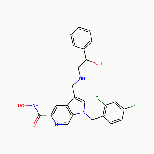 O=C(NO)c1cc2c(CNCC(O)c3ccccc3)cn(Cc3ccc(F)cc3F)c2cn1